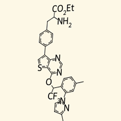 CCOC(=O)C(N)Cc1ccc(-c2csc3c(OC(c4ccc(C)cc4-n4ccc(C)n4)C(F)(F)F)ncnc23)cc1